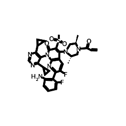 C=CC(=O)N1C[C@H](C)N(c2c(S(C)(=O)=O)c(=O)n(-c3c(C4CC4)ncnc3C3CC3)c3nc(-c4c(N)cccc4F)c(F)cc23)C[C@H]1C